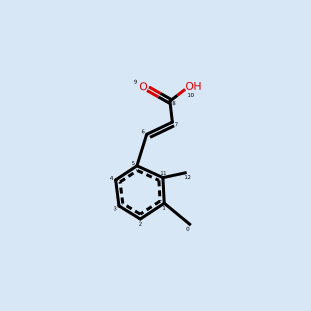 Cc1cccc(C=CC(=O)O)c1C